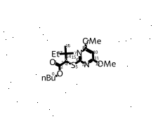 CCCCOC(=O)C(Sc1nc(OC)cc(OC)n1)C(C)(C)CC